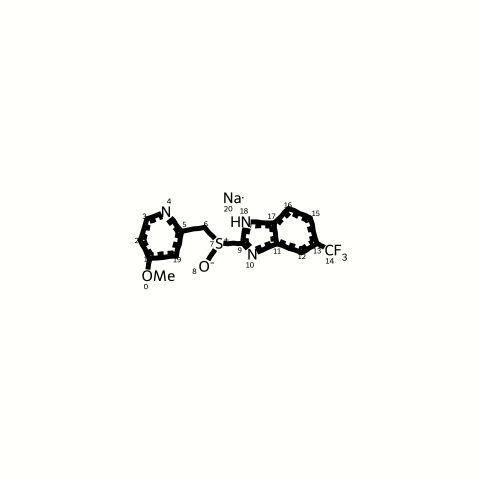 COc1ccnc(C[S+]([O-])c2nc3cc(C(F)(F)F)ccc3[nH]2)c1.[Na]